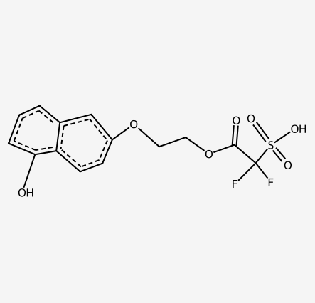 O=C(OCCOc1ccc2c(O)cccc2c1)C(F)(F)S(=O)(=O)O